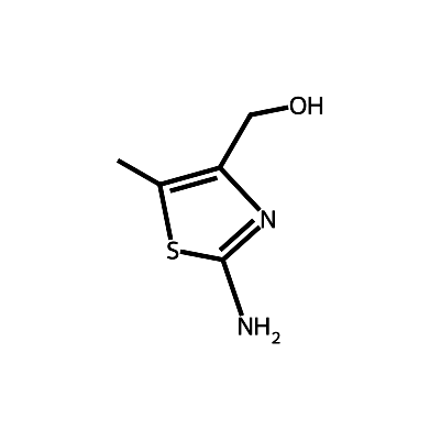 Cc1sc(N)nc1CO